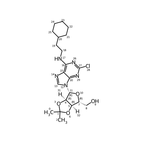 CC1(C)O[C@@H]2[C@H](O1)[C@@H](CO)O[C@H]2n1cnc2c(NCCC3CCCCC3)nc(Cl)nc21